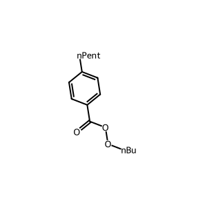 [CH2]CCCOOC(=O)c1ccc(CCCCC)cc1